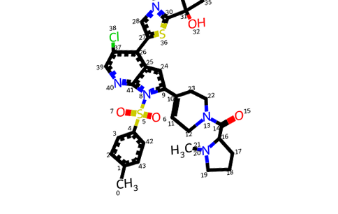 Cc1ccc(S(=O)(=O)n2c(C3=CCN(C(=O)C4CCCN4C)CC3)cc3c(-c4cnc(C5(O)COC5)s4)c(Cl)cnc32)cc1